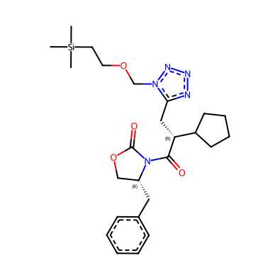 C[Si](C)(C)CCOCn1nnnc1C[C@@H](C(=O)N1C(=O)OC[C@H]1Cc1ccccc1)C1CCCC1